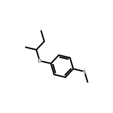 CCC(C)Oc1ccc(SC)cc1